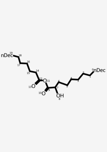 CCCCCCCCCCCCCCCCC(O)C(=O)OC(=O)CCCCCCCCCCCCCCC